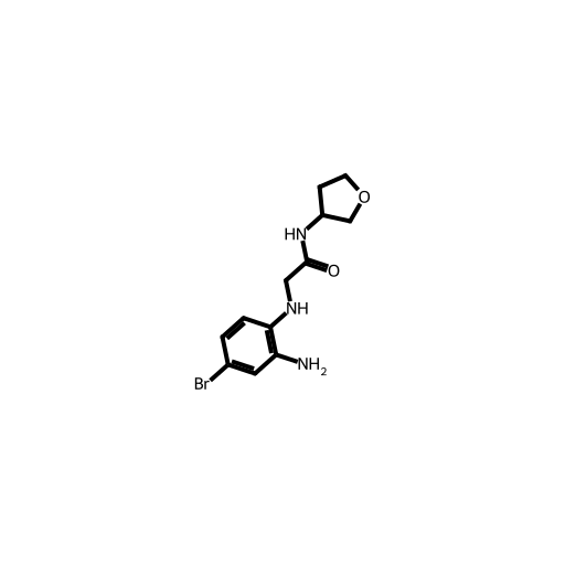 Nc1cc(Br)ccc1NCC(=O)NC1CCOC1